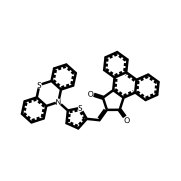 O=C1C(=Cc2ccc(N3c4ccccc4Sc4ccccc43)s2)C(=O)c2c1c1ccccc1c1ccccc21